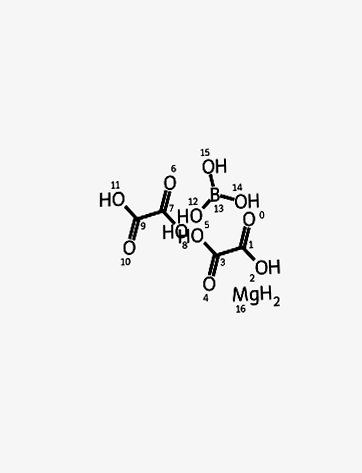 O=C(O)C(=O)O.O=C(O)C(=O)O.OB(O)O.[MgH2]